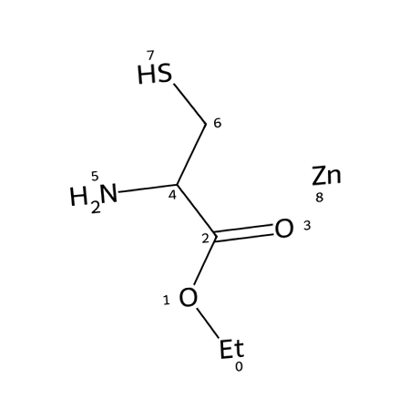 CCOC(=O)C(N)CS.[Zn]